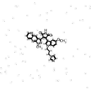 COc1ccc2c(c1)c(C1=C(c3nn(C)c4nc5cccnc5cc34)C(=O)NC1=O)cn2CCCn1ccnc1